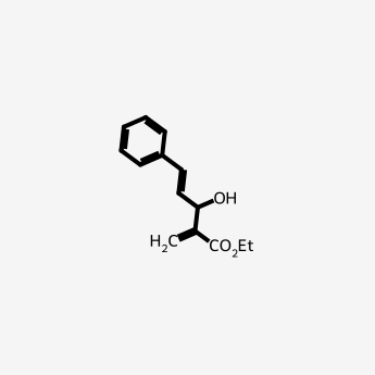 C=C(C(=O)OCC)C(O)C=Cc1ccccc1